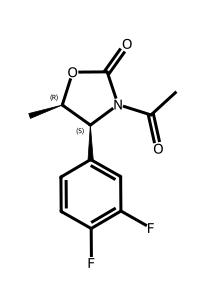 CC(=O)N1C(=O)O[C@H](C)[C@@H]1c1ccc(F)c(F)c1